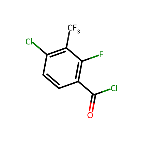 O=C(Cl)c1ccc(Cl)c(C(F)(F)F)c1F